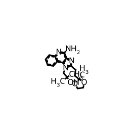 CC(C)(O)Cn1c(CCC2(C)OCCO2)nc2c(N)nc3ccccc3c21